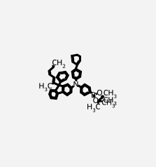 C=C/C=C\C=C(/C)C1(c2ccccc2)c2ccccc2-c2ccc(N(c3ccc(B4OC(C)(C)C(C)(C)O4)cc3)c3ccc(C4=CCCC=C4)cc3)cc21